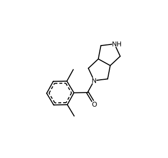 Cc1cccc(C)c1C(=O)N1CC2CNCC2C1